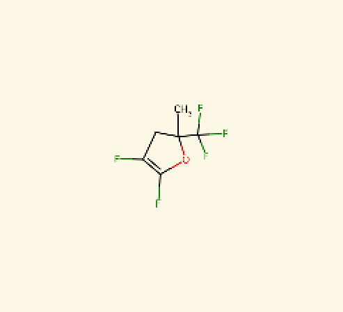 CC1(C(F)(F)F)CC(F)=C(F)O1